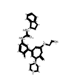 C=C1CC(OCCO)=CC(c2cc(NC(=O)N[C@H]3CCc4ccccc43)ccc2C)=CC1N1CCOCC1